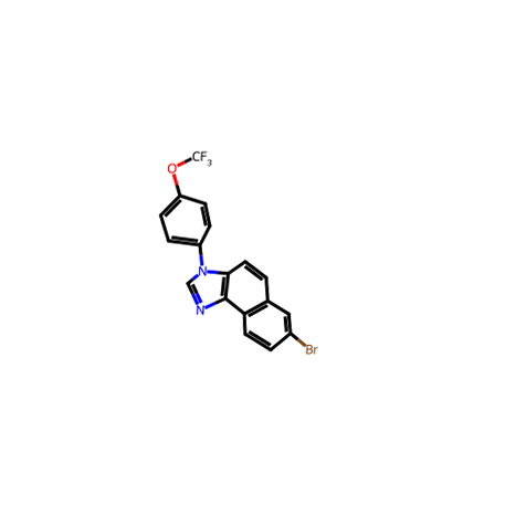 FC(F)(F)Oc1ccc(-n2cnc3c4ccc(Br)cc4ccc32)cc1